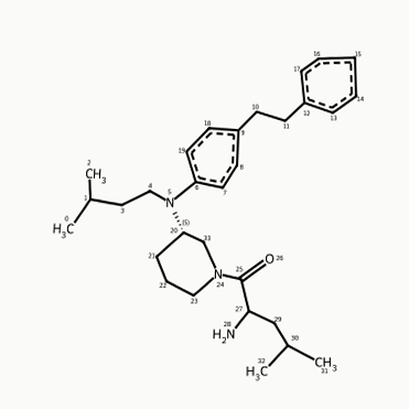 CC(C)CCN(c1ccc(CCc2ccccc2)cc1)[C@H]1CCCN(C(=O)C(N)CC(C)C)C1